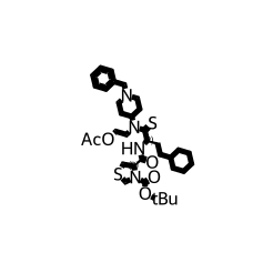 CC(=O)OCCN(C(=S)[C@@H](CCC1CCCCC1)NC(=O)[C@@H]1CSCN1C(=O)OC(C)(C)C)C1CCN(Cc2ccccc2)CC1